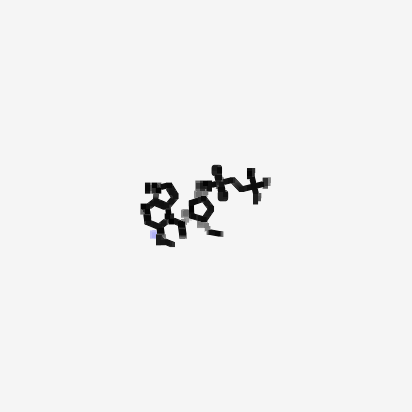 C=C([C@@H]1C[C@H](NS(=O)(=O)CCC(F)(F)F)C[C@@H]1CC)n1/c(=N\C)cnc2[nH]ccc21